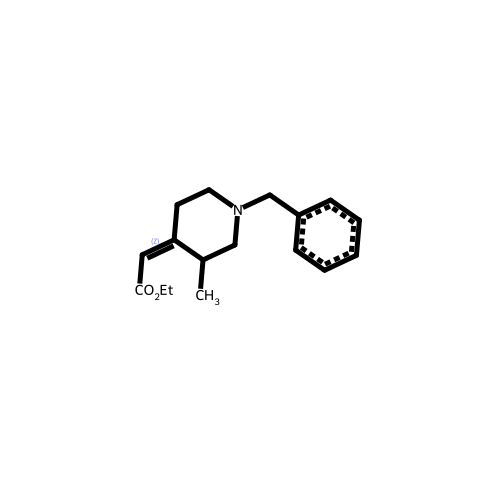 CCOC(=O)/C=C1/CCN(Cc2ccccc2)CC1C